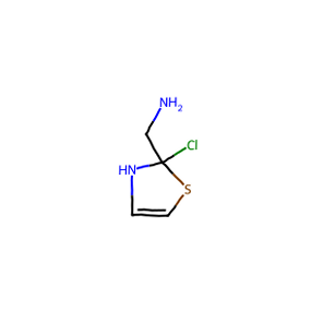 NCC1(Cl)NC=CS1